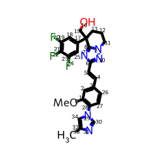 COc1cc(/C=C/c2nc3n(n2)CCCC3(CO)c2cc(F)c(F)c(F)c2)ccc1-n1cnc(C)c1